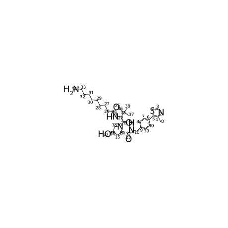 Cc1ncsc1-c1ccc(CNC(=O)[C@@H]2C[C@@H](O)CN2C(=O)C(NC(=O)CCCCCCCCN)C(C)(C)C)cc1